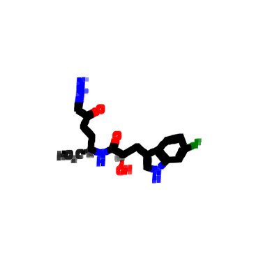 [N-]=[N+]=CC(=O)CC[C@H](NC(=O)[C@@H](O)Cc1c[nH]c2cc(F)ccc12)C(=O)O